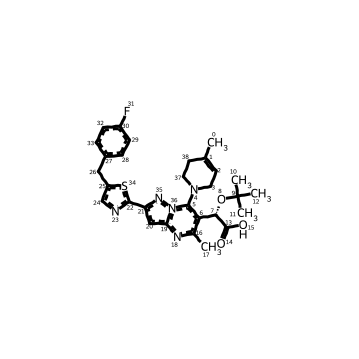 CC1=CCN(c2c([C@H](OC(C)(C)C)C(=O)O)c(C)nc3cc(-c4ncc(Cc5ccc(F)cc5)s4)nn23)CC1